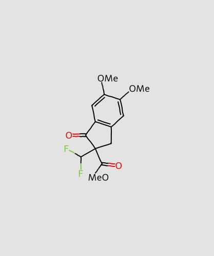 COC(=O)C1(C(F)F)Cc2cc(OC)c(OC)cc2C1=O